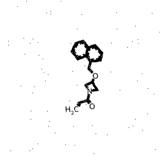 C=CC(=O)N1CC(OCc2cccc3ccccc23)C1